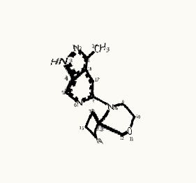 Cc1n[nH]c2cnc(N3CCOCC34CCC4)cc12